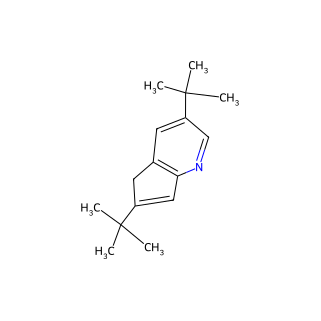 CC(C)(C)C1=Cc2ncc(C(C)(C)C)cc2C1